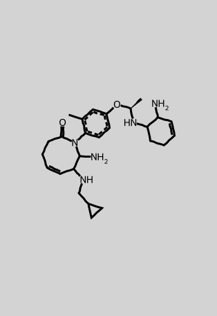 Cc1cc(O[C@@H](C)NC2CCC=CC2N)ccc1N1C(=O)CC/C=C\C(NCC2CC2)C1N